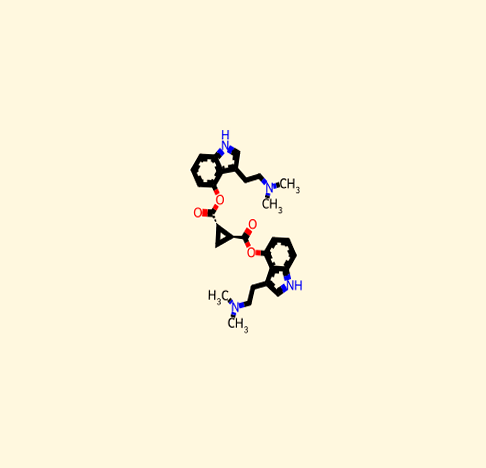 CN(C)CCc1c[nH]c2cccc(OC(=O)[C@H]3C[C@@H]3C(=O)Oc3cccc4[nH]cc(CCN(C)C)c34)c12